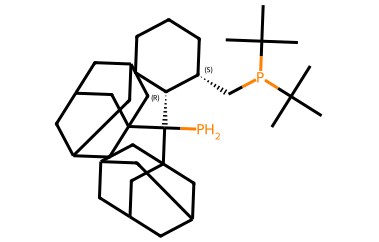 CC(C)(C)P(C[C@H]1CCCC[C@H]1C(P)(C12CC3CC(CC(C3)C1)C2)C12CC3CC(CC(C3)C1)C2)C(C)(C)C